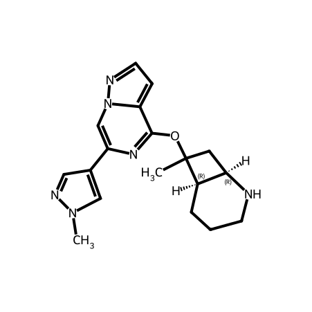 Cn1cc(-c2cn3nccc3c(OC3(C)C[C@H]4NCCC[C@H]43)n2)cn1